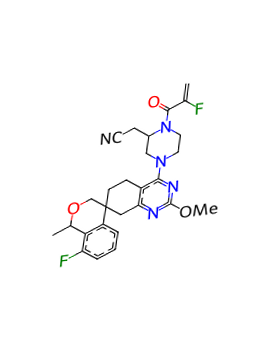 C=C(F)C(=O)N1CCN(c2nc(OC)nc3c2CCC2(COC(C)c4c(F)cccc42)C3)CC1CC#N